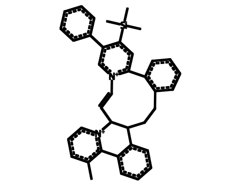 Cc1ccc[n+]2c1-c1ccccc1C1CCc3ccccc3-c3cc([Si](C)(C)C)c(-c4ccccc4)c[n+]3/C=C/C12